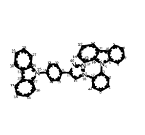 c1ccc(-n2c3ccccc3c3ccccc32)c(-n2cc(-c3ccc(-n4c5ccccc5c5ccccc54)cc3)nn2)c1